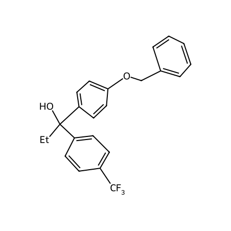 CCC(O)(c1ccc(OCc2ccccc2)cc1)c1ccc(C(F)(F)F)cc1